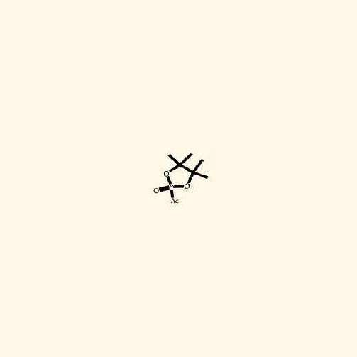 CC(=O)P1(=O)OC(C)(C)C(C)(C)O1